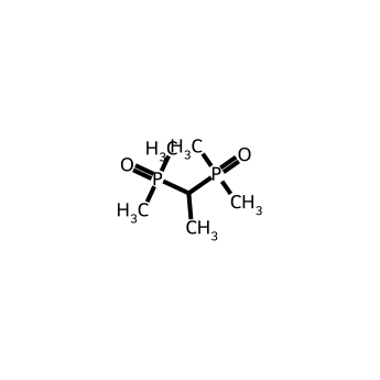 CC(P(C)(C)=O)P(C)(C)=O